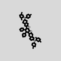 Cc1ccc(N(c2ccc3cc4c(cc3c2)oc2c3oc5cc6cc(N(c7ccc(C)cc7)c7cc(C)ccc7C)ccc6cc5c3c(-c3ccccc3)c(-c3ccccc3)c42)c2cc(C)ccc2C)cc1